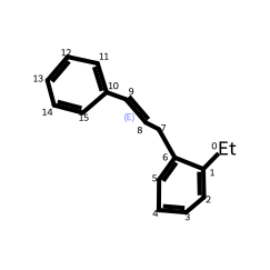 CCc1ccccc1C/C=C/c1ccccc1